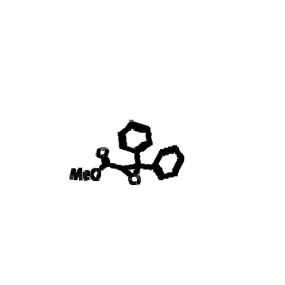 COC(=O)C1OC1(c1ccccc1)c1ccccc1